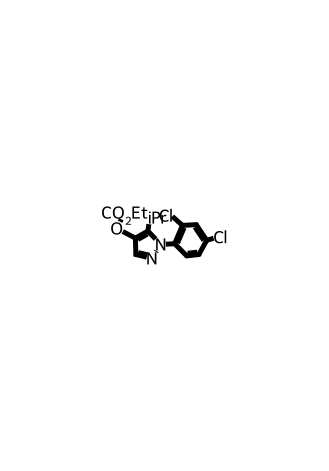 CCOC(=O)Oc1cnn(-c2ccc(Cl)cc2Cl)c1C(C)C